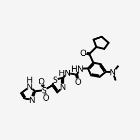 CN(C)c1ccc(NC(=O)Nc2ncc(S(=O)(=O)c3ncc[nH]3)s2)c(C(=O)C2CCCC2)c1